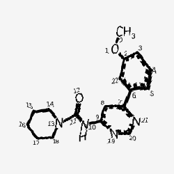 COc1cccc(-c2cc(NC(=O)N3CCCCC3)ncn2)c1